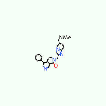 CNCc1ccc2nc(Cn3ccc4c(-c5ccccc5)cncc4c3=O)cn2c1